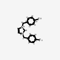 Fc1ccc(CN2C=CN(Cc3ccc(F)cc3)C2)cc1